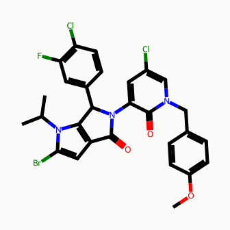 COc1ccc(Cn2cc(Cl)cc(N3C(=O)c4cc(Br)n(C(C)C)c4C3c3ccc(Cl)c(F)c3)c2=O)cc1